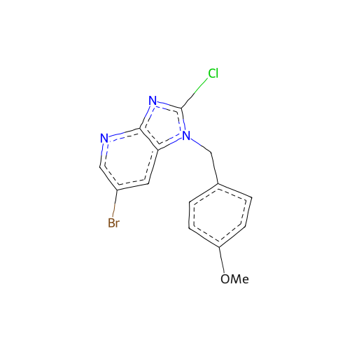 COc1ccc(Cn2c(Cl)nc3ncc(Br)cc32)cc1